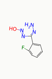 NN=C(N=NO)c1ccccc1F